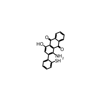 Nc1c(-c2ccccc2S)cc(O)c2c1C(=O)c1ccccc1C2=O